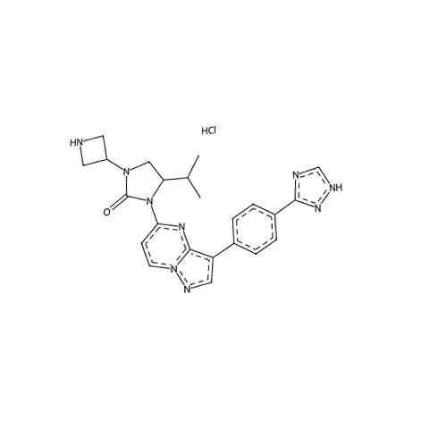 CC(C)C1CN(C2CNC2)C(=O)N1c1ccn2ncc(-c3ccc(-c4nc[nH]n4)cc3)c2n1.Cl